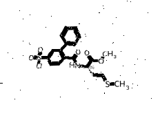 COC(=O)[C@H](CCSC)NC(=O)c1ccc(S(=O)(=O)Cl)cc1-c1ccccc1